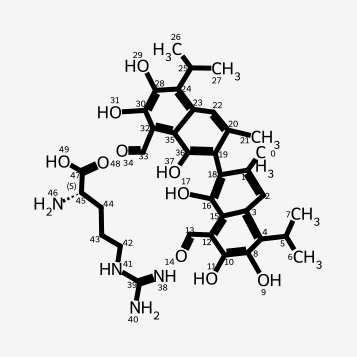 Cc1cc2c(C(C)C)c(O)c(O)c(C=O)c2c(O)c1-c1c(C)cc2c(C(C)C)c(O)c(O)c(C=O)c2c1O.N=C(N)NCCC[C@H](N)C(=O)O